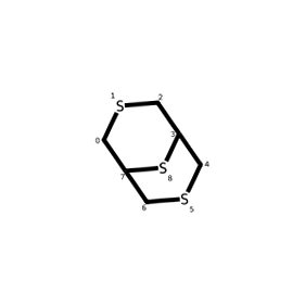 C1SCC2CSCC1S2